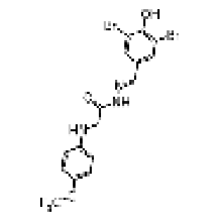 O=C(CNc1ccc(OC(F)(F)F)cc1)N/N=C/c1cc(Br)c(O)c(Br)c1